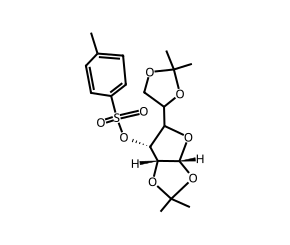 Cc1ccc(S(=O)(=O)O[C@@H]2C(C3COC(C)(C)O3)O[C@@H]3OC(C)(C)O[C@@H]32)cc1